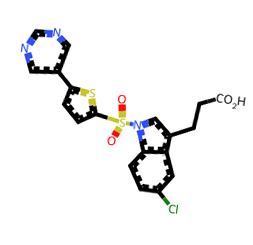 O=C(O)CCc1cn(S(=O)(=O)c2ccc(-c3cncnc3)s2)c2ccc(Cl)cc12